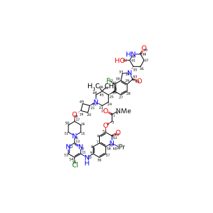 CNC(=O)COc1cc2cc(Nc3nc(N4CCC(O[C@H]5C[C@H](N6CC[C@H](c7ccc8c(c7F)CN([C@H]7CCC(=O)NC7O)C8=O)C(C)(C)C6)C5)CC4)ncc3Cl)ccc2n(C(C)C)c1=O